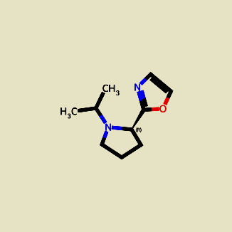 CC(C)N1CCC[C@@H]1c1ncco1